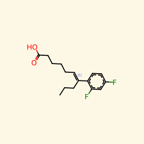 CCC/C(=C\CCCCC(=O)O)c1ccc(F)cc1F